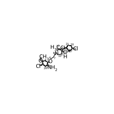 COc1cc(OCCCN2CCC(O)(Cc3ccc(Cl)cc3)C(C)(C)C2)c(N)cc1Cl